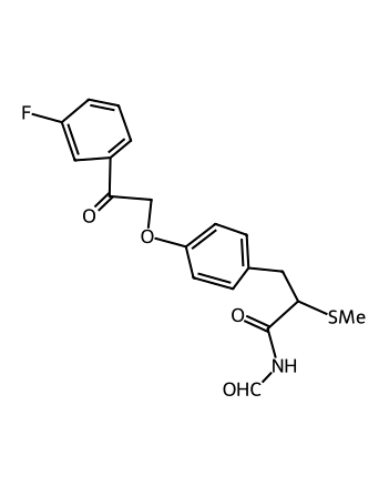 CSC(Cc1ccc(OCC(=O)c2cccc(F)c2)cc1)C(=O)NC=O